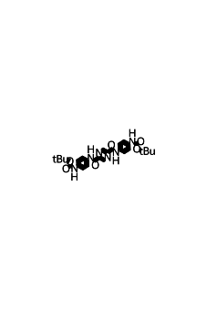 CC(C)(C)OC(=O)Nc1ccc(NC(=O)c2cnc(C(=O)Nc3ccc(NC(=O)OC(C)(C)C)cc3)cn2)cc1